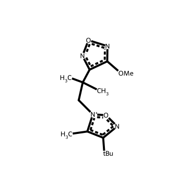 COc1nonc1C(C)(C)C[n+]1onc(C(C)(C)C)c1C